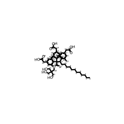 CCCCCCCCCCCCC(c1c(C)cc(CC(=O)O)cc1C)C(C(=S)OCC(CO)(CO)CO)(c1c(C)cc(CC(=O)O)cc1C)c1c(C)cc(CC(=O)O)cc1C